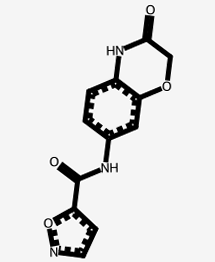 O=C1COc2cc(NC(=O)c3ccno3)ccc2N1